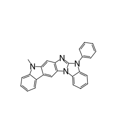 Cn1c2ccccc2c2cc3c(cc21)nc1n(-c2ccccc2)c2ccccc2n31